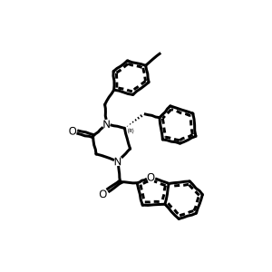 Cc1ccc(CN2C(=O)CN(C(=O)c3cc4ccccc4o3)C[C@H]2Cc2ccccc2)cc1